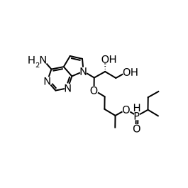 CCC(C)[PH](=O)OC(C)CCOC([C@H](O)CO)n1ccc2c(N)ncnc21